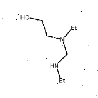 CCNCN(CC)CCO